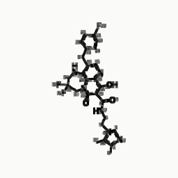 Cc1ncn(CCNC(=O)c2c(O)c3ncc(Cc4ccc(F)cc4)c4c3n(c2=O)CC(F)(F)CN4)c1C